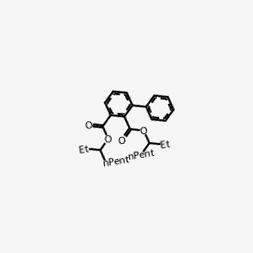 CCCCCC(CC)OC(=O)c1cccc(-c2ccccc2)c1C(=O)OC(CC)CCCCC